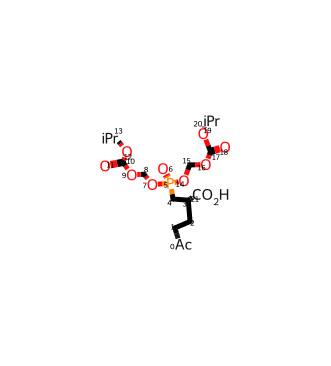 CC(=O)CCC(CP(=O)(OCOC(=O)OC(C)C)OCOC(=O)OC(C)C)C(=O)O